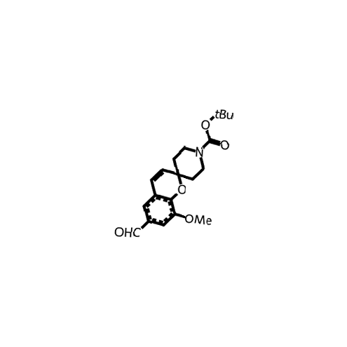 COc1cc(C=O)cc2c1OC1(C=C2)CCN(C(=O)OC(C)(C)C)CC1